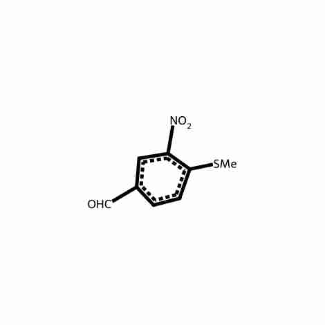 CSc1ccc(C=O)cc1[N+](=O)[O-]